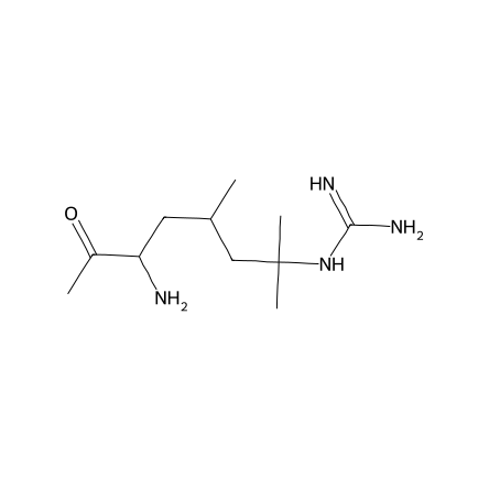 CC(=O)C(N)CC(C)CC(C)(C)NC(=N)N